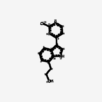 OCCc1cccc2c(-c3ccnc(Cl)n3)c[nH]c12